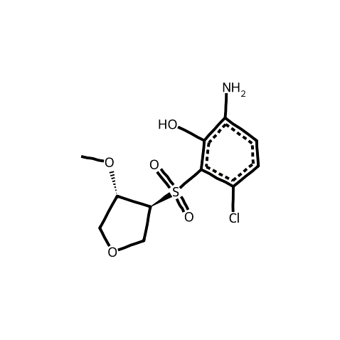 CO[C@H]1COC[C@@H]1S(=O)(=O)c1c(Cl)ccc(N)c1O